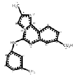 Cc1cccc(Nc2nc3cc(C(=O)O)ccc3c3nc(C)cn23)c1